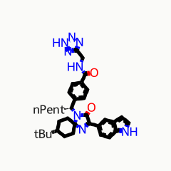 CCCCC[C@H](c1ccc(C(=O)NCc2nn[nH]n2)cc1)N1C(=O)C(c2ccc3[nH]ccc3c2)=NC12CCC(C(C)(C)C)CC2